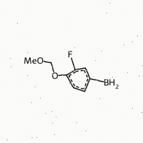 Bc1ccc(OCOC)c(F)c1